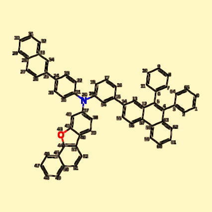 c1ccc(-c2c(-c3ccccc3)c3cc(-c4cccc(N(c5ccc(-c6ccc7ccccc7c6)cc5)c5ccc6c(c5)oc5c7ccccc7ccc65)c4)ccc3c3ccccc23)cc1